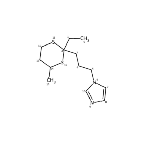 CCC1(CCCn2ccnc2)SCCC(C)S1